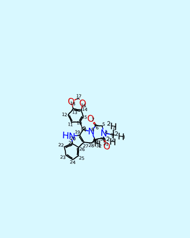 [2H]C([2H])([2H])N1CC(=O)N2[C@H](c3ccc4c(c3)OCO4)c3[nH]c4ccccc4c3C[C@@H]2C1=O